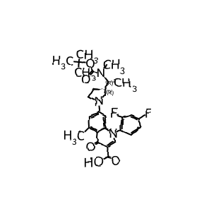 Cc1cc(N2CC[C@@H]([C@@H](C)N(C)C(=O)OC(C)(C)C)C2)cc2c1c(=O)c(C(=O)O)cn2-c1ccc(F)cc1F